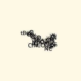 CCOC(=O)c1nc(Cl)nc2c1n(-c1ccc(C(=O)N3CCc4c(n(Cc5ccc(C#N)cc5F)c5ncccc45)C3)cc1)c(=O)n2C1CCN(C(=O)OC(C)(C)C)CC1